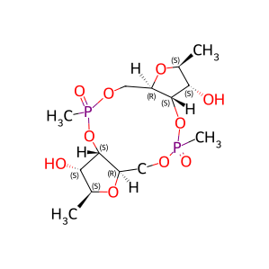 C[C@@H]1O[C@@H]2COP(C)(=O)O[C@H]3[C@@H](O)[C@H](C)O[C@@H]3COP(C)(=O)O[C@H]2[C@H]1O